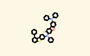 Fc1cc2c(cc1N(c1ccccc1)c1ccc3c(c1)sc1cccc(-c4ccccc4)c13)oc1ccc(N(c3ccccc3)c3ccccc3)cc12